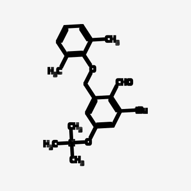 Cc1cccc(C)c1OCc1cc(O[Si](C)(C)C)cc(C(C)(C)C)c1C=O